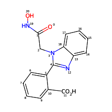 O=C(Cn1c(-c2ccccc2C(=O)O)nc2ccccc21)NO